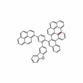 c1ccc(-c2c(-c3ccc4ccc5cccc6ccc3c4c56)c(-c3ccc(-c4ccc5ccc6cccc7ccc4c5c67)cc3-c3ccc4oc5ccccc5c4c3)cc3ccccc23)cc1